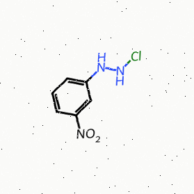 O=[N+]([O-])c1cccc(NNCl)c1